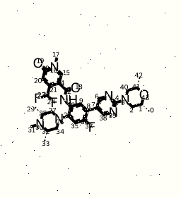 C[C@@H]1CN(c2ncc(-c3cc(NC(=O)c4cn(C)c(=O)cc4C(F)F)c(N4C[C@@H](C)N(C)[C@@H](C)C4)cc3F)cn2)C[C@H](C)O1